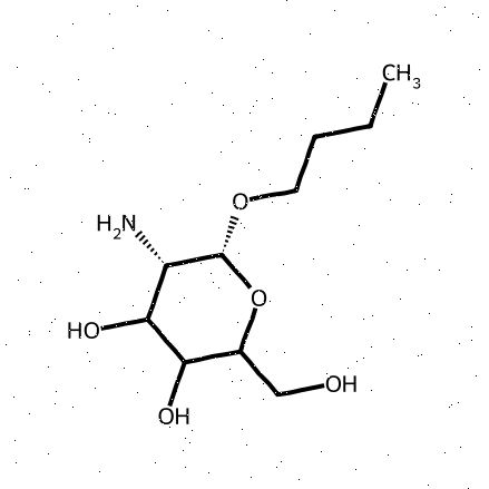 CCCCO[C@@H]1OC(CO)C(O)C(O)[C@@H]1N